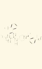 O=C(c1cccc(C(F)(F)F)c1)N1CCC(NC2=NC(c3ccccc3Cl)=CN3C2=NCC3Br)CC1